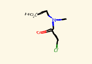 CN(CC(=O)O)C(=O)CCl